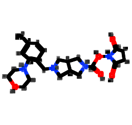 CC(C)c1ccc(CN2CC3CN(C(=O)ON4C(=O)CCC4=O)CC3C2)c(N2CCOCC2)c1